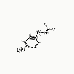 CC/C(Cl)=N/Nc1ccc(OC)cc1